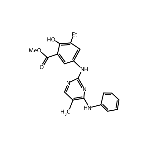 CCc1cc(Nc2ncc(C)c(Nc3ccccc3)n2)cc(C(=O)OC)c1O